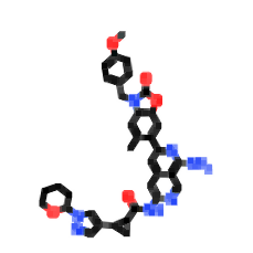 COc1ccc(Cn2c(=O)oc3cc(-c4cc5cc(NC(=O)C6CC6c6cnn(C7CCCCO7)c6)ncc5c(N)n4)c(C)cc32)cc1